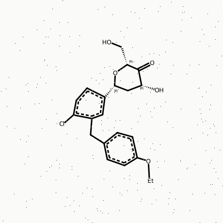 CCOc1ccc(Cc2cc([C@H]3C[C@@H](O)C(=O)[C@@H](CO)O3)ccc2Cl)cc1